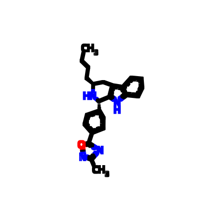 CCCC[C@H]1Cc2c([nH]c3ccccc23)[C@H](c2ccc(-c3nc(C)no3)cc2)N1